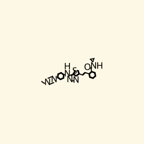 CCN1CCN(c2ccc(Nc3ncnc4c(/C=C/c5ccccc5C(=O)NC5CC5)csc34)cc2)CC1